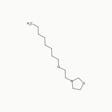 CCCCCCCCOCCN1CCOC1